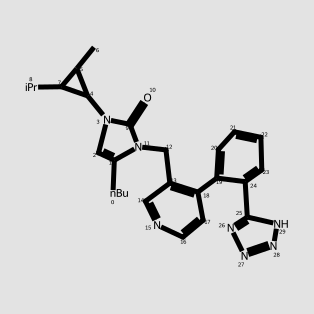 CCCCc1cn(C2C(C)C2C(C)C)c(=O)n1Cc1cnccc1-c1ccccc1-c1nnn[nH]1